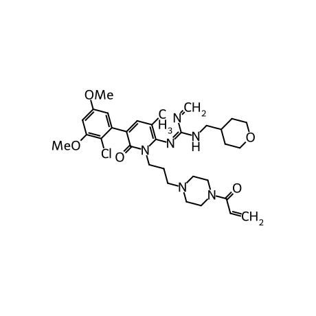 C=CC(=O)N1CCN(CCCn2c(/N=C(\N=C)NCC3CCOCC3)c(C)cc(-c3cc(OC)cc(OC)c3Cl)c2=O)CC1